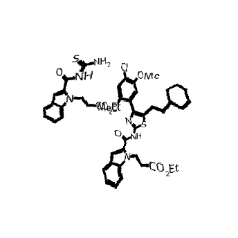 CCOC(=O)CCn1c(C(=O)NC(N)=S)cc2ccccc21.CCOC(=O)CCn1c(C(=O)Nc2nc(-c3cc(OC)c(Cl)cc3OC)c(CCC3CCCCC3)s2)cc2ccccc21